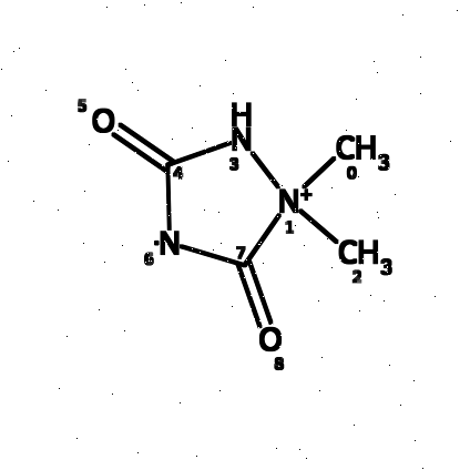 C[N+]1(C)NC(=O)[N]C1=O